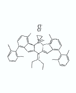 CCCCC1=Cc2c(-c3c(C)cccc3C)ccc(C)c2[CH]1[Zr+2]1([CH]2C(CCCC)=Cc3c(-c4c(C)cccc4C)ccc(C)c32)[CH2][CH2]1.[Cl-].[Cl-]